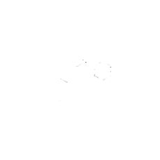 CCCCOC(=O)C1Oc2ccccc2N=C1I